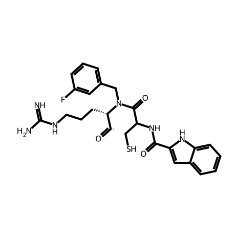 N=C(N)NCCC[C@@H]([C]=O)N(Cc1cccc(F)c1)C(=O)C(CS)NC(=O)c1cc2ccccc2[nH]1